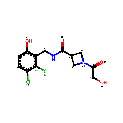 O=C(NCc1c(O)ccc(Cl)c1Cl)C1CN(C(=O)CO)C1